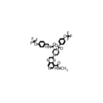 CNC(=O)c1cncc2ncc(N3CCN(S(=O)(=O)c4ccc(OC(F)(F)F)cc4)[C@@H](C(=O)NCc4ccc(OC(F)(F)F)cc4)C3)nc12